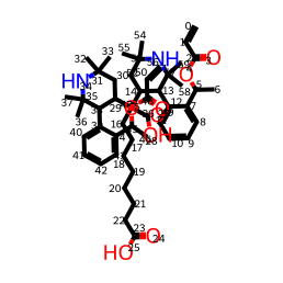 C=CC(=O)OC(C)c1ccccc1C1C(C(CCCCCCCC(=O)O)(C(=O)O)C2CC(C)(C)NC(C)(C)C2c2ccccc2C(C)OC(=O)C=C)CC(C)(C)NC1(C)C